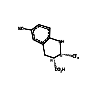 N#Cc1ccc2c(c1)C[C@@H](C(=O)O)[C@@H](C(F)(F)F)N2